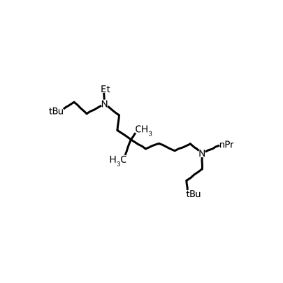 CCCN(CCCCC(C)(C)CCN(CC)CCC(C)(C)C)CCC(C)(C)C